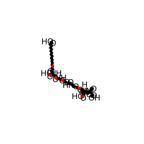 CC(=O)[C@H](CCC(=O)O)NC(=O)[C@H](CCC(=O)O)NC(=O)COCCOCCNC(=O)COCCOCCNC(=O)CC[C@H](NC(=O)CCCCCCCCCCCCCCCCC(=O)O)C(=O)O